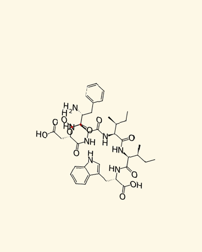 CC[C@H](C)[C@H](NC(=O)[C@H](CC(=O)O)NC(=O)[C@H](CC(=O)O)NC(=O)[C@H](N)Cc1ccccc1)C(=O)N[C@H](C(=O)N[C@@H](Cc1c[nH]c2ccccc12)C(=O)O)[C@@H](C)CC